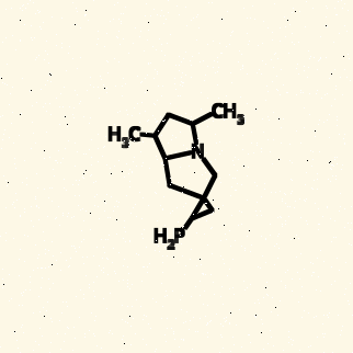 CC1CC(C)N2CC3(CC12)CC3P